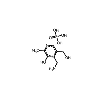 Cc1ncc(CO)c(CN)c1O.O=P(O)(O)O